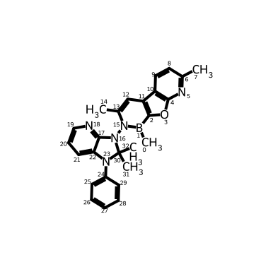 CB1c2oc3nc(C)ccc3c2C=C(C)N1N1c2ncccc2N(c2ccccc2)C1(C)C